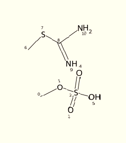 COS(=O)(=O)O.CSC(=N)N